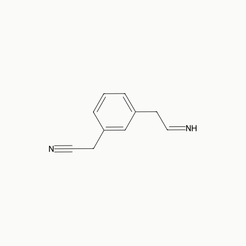 N#CCc1cccc(CC=N)c1